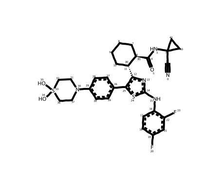 N#CC1(NC(=O)[C@@H]2CCCC[C@H]2c2nc(Nc3ccc(F)cc3F)sc2-c2ccc(N3CCS(O)(O)CC3)cc2)CC1